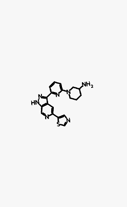 NC1CCCN(c2cccc(-c3n[nH]c4cnc(-c5cncs5)cc34)n2)C1